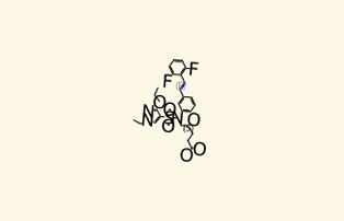 CCOc1nn(CC)cc1S(=O)(=O)N1C[C@H](CCC(=O)OC)Oc2ccc(/C=C/c3c(F)cccc3F)cc21